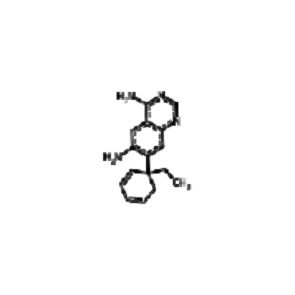 CCC1(c2cc3ncnc(N)c3cc2N)C=CC=CC1